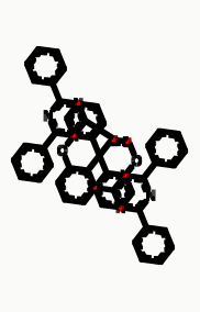 c1ccc(-c2nc(-c3ccccc3)nc(-c3cccc4c3C3(c5ccccc5O4)c4ccccc4Oc4cccc(-c5nc(-c6ccccc6)nc(-c6ccccc6)n5)c43)n2)cc1